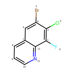 Fc1c(Cl)c(Br)cc2cccnc12